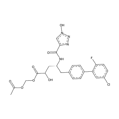 CC(=O)OCOC(=O)C(O)C[C@@H](Cc1ccc(-c2cc(Cl)ccc2F)cc1)NC(=O)c1cn(O)nn1